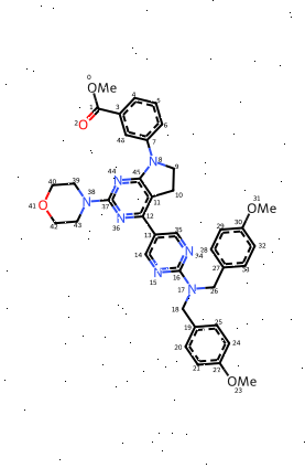 COC(=O)c1cccc(N2CCc3c(-c4cnc(N(Cc5ccc(OC)cc5)Cc5ccc(OC)cc5)nc4)nc(N4CCOCC4)nc32)c1